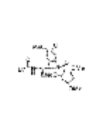 CCC(=O)NCC(CC)c1cn(C(=O)c2c(OC)cc(OC)cc2OC)c2cc(Cl)c(OC)cc12